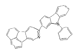 c1ccc(-n2c3ccccc3c3ccc(-c4cc5c(cn4)-c4cccc6cccc-5c46)cc32)cc1